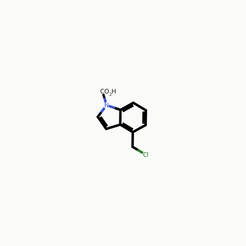 O=C(O)n1ccc2c(CCl)cccc21